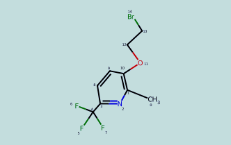 Cc1nc(C(F)(F)F)ccc1OCCBr